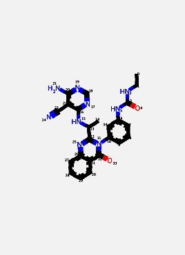 CCNC(=O)Nc1cccc(-n2c(C(C)Nc3ncnc(N)c3C#N)nc3ccccc3c2=O)c1